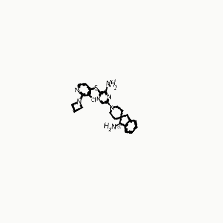 Nc1nc(N2CCC3(CC2)Cc2ccccc2[C@H]3N)cnc1Sc1ccnc(N2CCC2)c1Cl